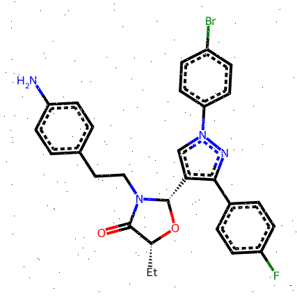 CC[C@H]1O[C@@H](c2cn(-c3ccc(Br)cc3)nc2-c2ccc(F)cc2)N(CCc2ccc(N)cc2)C1=O